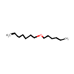 [CH2]CCCCCCOCCCCC[CH2]